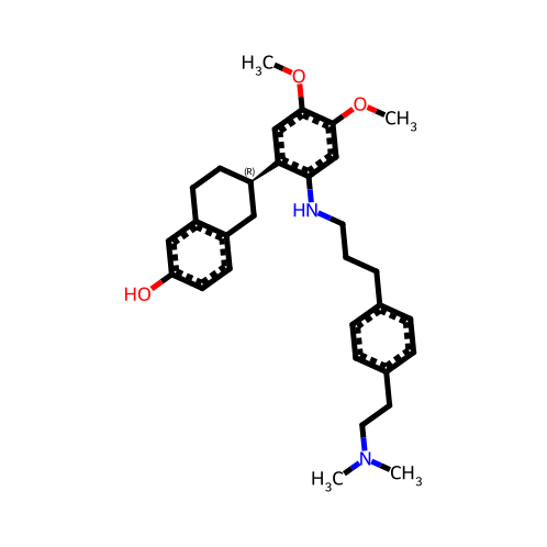 COc1cc(NCCCc2ccc(CCN(C)C)cc2)c([C@@H]2CCc3cc(O)ccc3C2)cc1OC